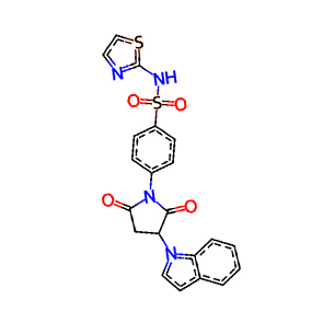 O=C1CC(n2ccc3ccccc32)C(=O)N1c1ccc(S(=O)(=O)Nc2nccs2)cc1